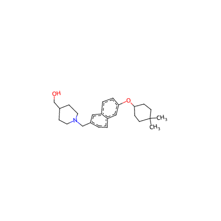 CC1(C)CCC(Oc2ccc3cc(CN4CCC(CO)CC4)ccc3c2)CC1